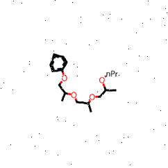 CCCOC(C)COC(C)COC(C)COc1ccccc1